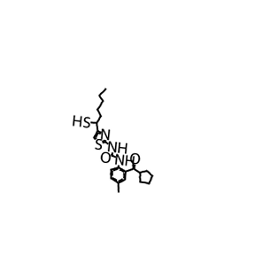 CCCCCC(S)c1csc(NC(=O)Nc2ccc(C)cc2C(=O)C2CCCC2)n1